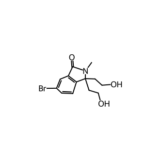 CN1C(=O)c2cc(Br)ccc2C1(CCO)CCO